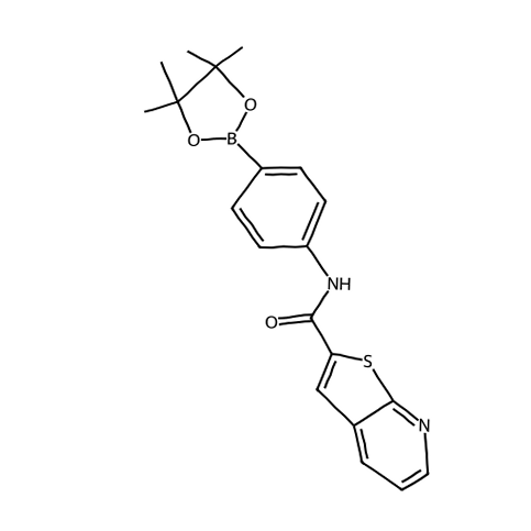 CC1(C)OB(c2ccc(NC(=O)c3cc4cccnc4s3)cc2)OC1(C)C